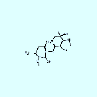 CNC1C(O)C(OC2C(N)CC(N)C(OC)C2O)OCC1(C)O